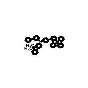 CC1(C)c2ccccc2-c2ccc(N(c3ccc(-c4cccc5c4-c4ccccc4C54c5ccccc5-c5ccccc54)cc3)c3cccc(-c4ccccc4)c3)cc21